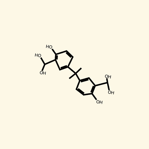 CC(C)(c1ccc(O)c(C(O)O)c1)c1ccc(O)c(C(O)O)c1